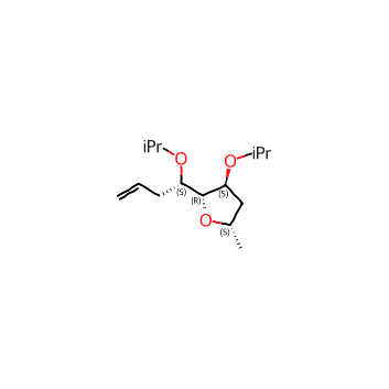 C=CC[C@H](OC(C)C)[C@H]1O[C@@H](C)C[C@@H]1OC(C)C